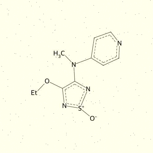 CCOc1n[s+]([O-])nc1N(C)c1ccncc1